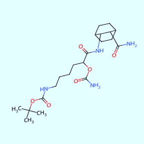 CC(C)(C)OC(=O)NCCCCC(OC(N)=O)C(=O)NC1C2CCC(CC2)C1C(N)=O